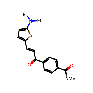 CCN(CC)c1ccc(/C=C/C(=O)c2ccc(C(=O)NC)cc2)s1